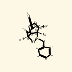 O=C1CCC[C@@H]2ON(Cc3ccccc3)[C@@H]3[C@H]2SC[C@H]3N1